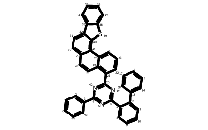 c1ccc(-c2nc(-c3ccccc3-c3ccccc3)nc(-c3cccc4c3ccc3ccc5c6ccccc6sc5c34)n2)cc1